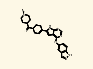 CC(=O)N1CCC(C(=O)C2CC=C(c3cc4c(Nc5ccc6[nH]ncc6c5)ncnc4[nH]3)CC2)CC1